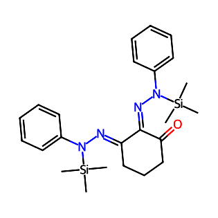 C[Si](C)(C)N(N=C1CCCC(=O)C1=NN(c1ccccc1)[Si](C)(C)C)c1ccccc1